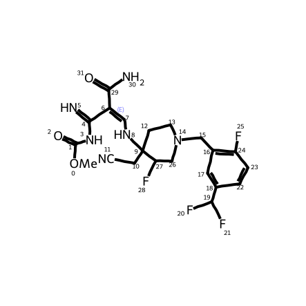 COC(=O)NC(=N)/C(=C\NC1(CC#N)CCN(Cc2cc(C(F)F)ccc2F)CC1F)C(N)=O